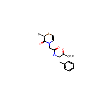 CCC1SC=CN(CC(=O)N[C@@H](Cc2ccccc2)C(=O)C(=O)O)C1=O